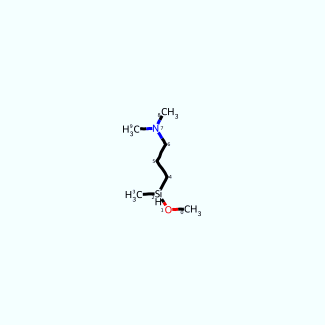 CO[SiH](C)CCCN(C)C